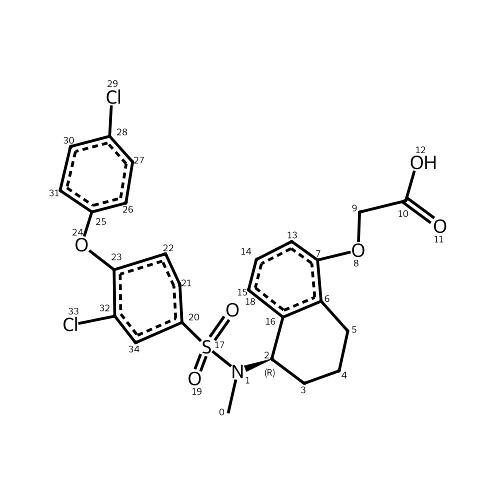 CN([C@@H]1CCCc2c(OCC(=O)O)cccc21)S(=O)(=O)c1ccc(Oc2ccc(Cl)cc2)c(Cl)c1